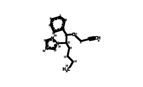 C#CCOC(c1ccccc1)C(CCCC)n1cncn1